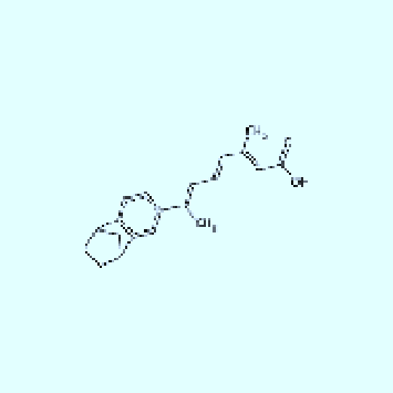 CC(C=CC=C(C)c1ccc2c(c1)C1CCC2C1)=CC(=O)O